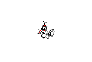 COC1=C(c2ccc(C(C)C)cc2C(C)C)C(C(C)C)(P(C23CC4CC(CC(C4)C2)C3)C23CC4CC(CC(C4)C2)C3)C(OC)C=C1